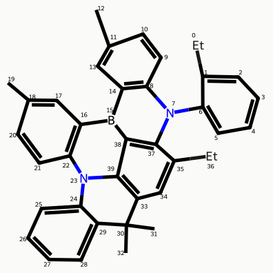 CCc1ccccc1N1c2ccc(C)cc2B2c3cc(C)ccc3N3c4ccccc4C(C)(C)c4cc(CC)c1c2c43